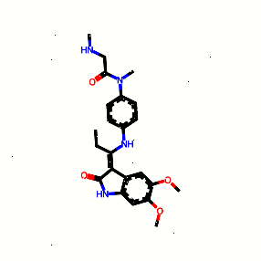 CCC(Nc1ccc(N(C)C(=O)CNC)cc1)=C1C(=O)Nc2cc(OC)c(OC)cc21